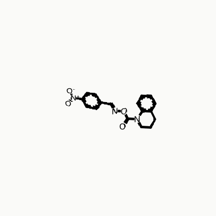 O=C(ON=Cc1ccc([N+](=O)[O-])cc1)N1CCCc2ccccc21